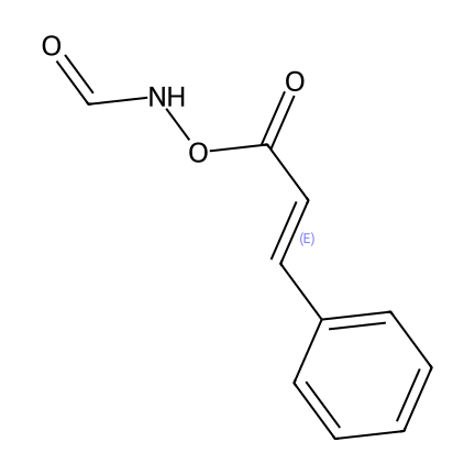 O=CNOC(=O)/C=C/c1ccccc1